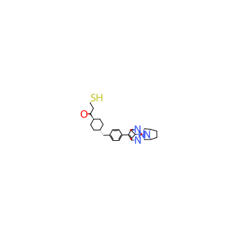 CC(C)N1CC2CCC(C1)N2c1ncc(-c2ccc(C[C@H]3CC[C@H](C(=O)CCS)CC3)cc2)cn1